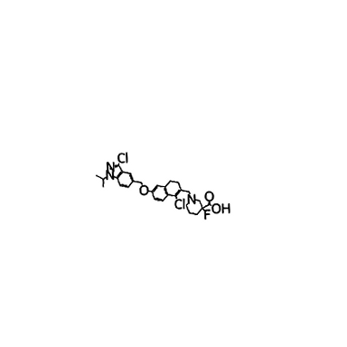 CC(C)n1nc(Cl)c2cc(COc3ccc4c(c3)CCC(CN3CCCC(F)(C(=O)O)C3)=C4Cl)ccc21